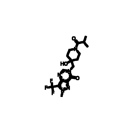 CC(C)C(=O)N1CCC(O)(Cn2cnc3c(C(F)(F)F)n(C)nc3c2=O)CC1